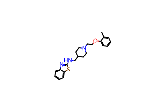 Cc1ccccc1OCCN1CCC(CNc2nc3ccccc3s2)CC1